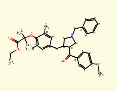 CCOC(=O)C(C)(C)Oc1c(C)cc(CC2CN(Cc3ccccc3)C[C@H]2C(=O)c2ccc(SC)cc2)cc1C